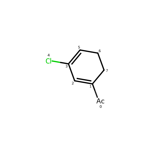 CC(=O)C1=CC(Cl)=CCC1